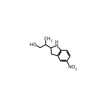 CC(CO)C1Cc2cc([N+](=O)[O-])ccc2N1